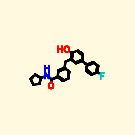 O=C(NC1CCCC1)c1cccc(Cc2cc(-c3ccc(F)cc3)ccc2O)c1